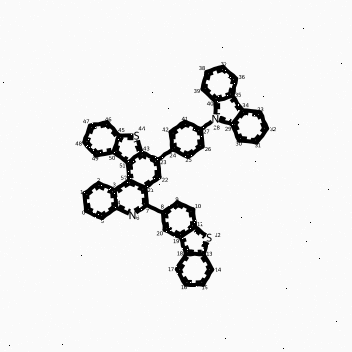 c1ccc2c(c1)nc(-c1ccc3sc4ccccc4c3c1)c1cc(-c3ccc(-n4c5ccccc5c5ccccc54)cc3)c3sc4ccccc4c3c12